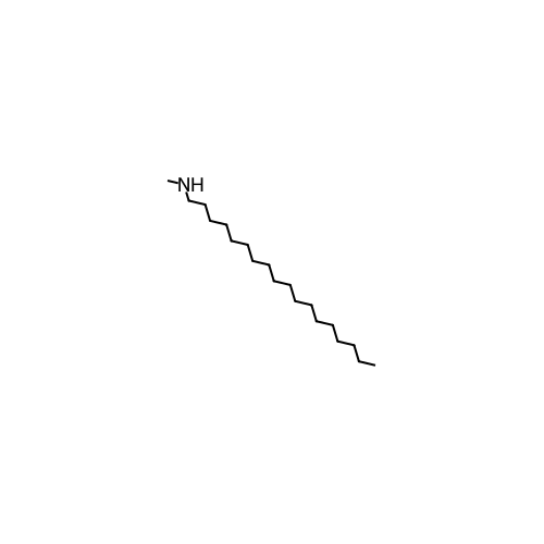 CCCCCCCCCCCCCCCCCCNC